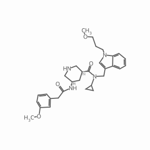 COCCCn1cc(CN(C(=O)[C@@H]2CNC[C@H](NC(=O)Cc3cccc(OC)c3)C2)C2CC2)c2ccccc21